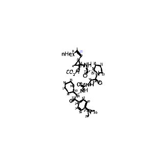 CCCCCC/C=C\C1C[C@]1(NC(=O)[C@@H]1CCCN1C(=O)CNC(=O)N[C@H](C(=O)c1ccc(N(C)C)cc1)C1CCCCC1)C(=O)O